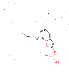 CCCOc1cccc2cc(OB(O)O)oc12